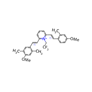 COc1ccc(/C=C/c2cccc(/C=C/c3cc(C)c(OC)cc3C)[n+]2CC(F)(F)F)c(C)c1